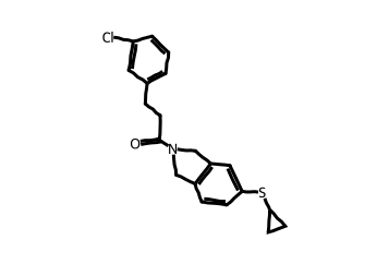 O=C(CCc1cccc(Cl)c1)N1Cc2ccc(SC3CC3)cc2C1